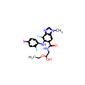 CCOC(O)CNC(=O)c1cc2c(ncn2C)c(F)c1Nc1ccc(I)cc1F